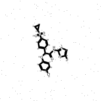 O=C(Nc1ncc(F)s1)C(Oc1ccc(Cl)cc1)c1ccc(S(=O)(=O)C2CC2)cc1